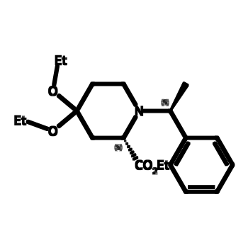 CCOC(=O)[C@@H]1CC(OCC)(OCC)CCN1[C@@H](C)c1ccccc1